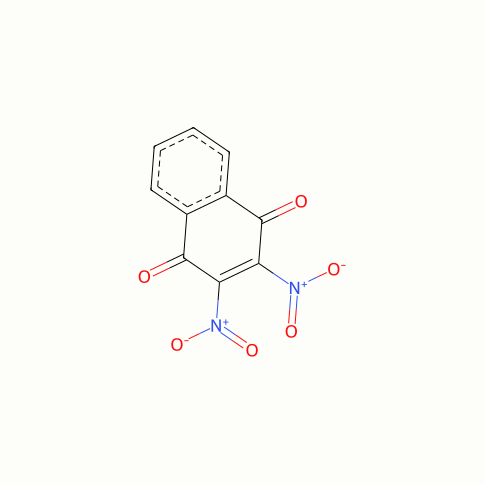 O=C1C([N+](=O)[O-])=C([N+](=O)[O-])C(=O)c2ccccc21